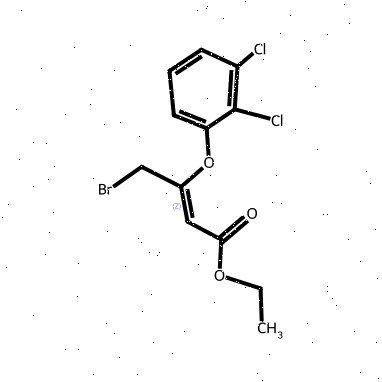 CCOC(=O)/C=C(/CBr)Oc1cccc(Cl)c1Cl